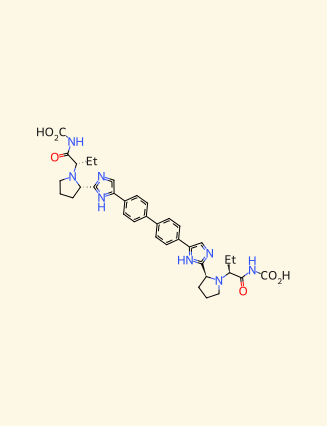 CC[C@@H](C(=O)NC(=O)O)N1CCC[C@H]1c1ncc(-c2ccc(-c3ccc(-c4cnc([C@@H]5CCCN5[C@@H](CC)C(=O)NC(=O)O)[nH]4)cc3)cc2)[nH]1